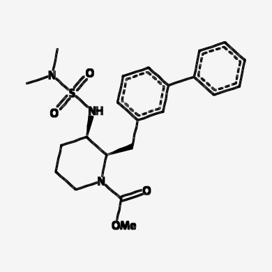 COC(=O)N1CCC[C@@H](NS(=O)(=O)N(C)C)[C@H]1Cc1cccc(-c2ccccc2)c1